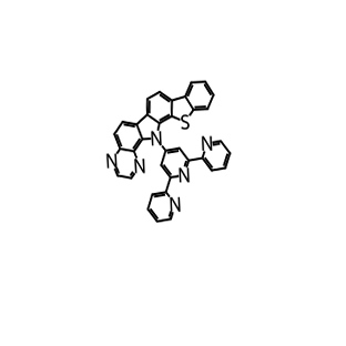 c1ccc(-c2cc(-n3c4c(ccc5nccnc54)c4ccc5c6ccccc6sc5c43)cc(-c3ccccn3)n2)nc1